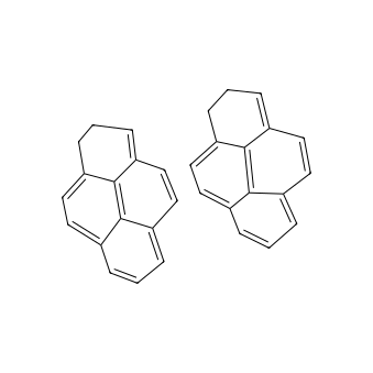 C1=c2ccc3cccc4ccc(c2c43)CC1.C1=c2ccc3cccc4ccc(c2c43)CC1